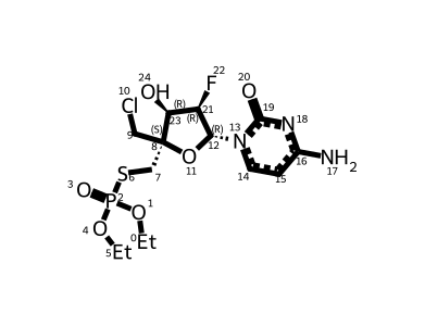 CCOP(=O)(OCC)SC[C@@]1(CCl)O[C@@H](n2ccc(N)nc2=O)[C@H](F)[C@@H]1O